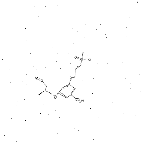 COC[C@H](C)Oc1cc(OCCCS(C)(=O)=O)cc(C(=O)O)c1